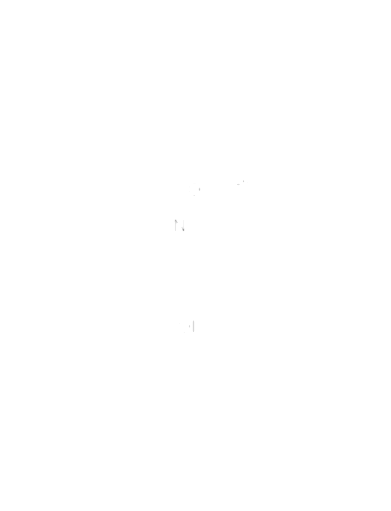 CC(C)On1ccc(O)c1